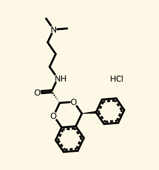 CN(C)CCCNC(=O)[C@H]1Oc2ccccc2[C@H](c2ccccc2)O1.Cl